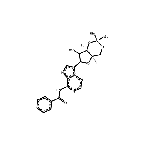 CC(C)(C)[Si]1(C(C)(C)C)OC[C@H]2O[C@@H](c3cnc4c(NC(=O)c5ccccc5)ncnn34)C(O)[C@H]2O1